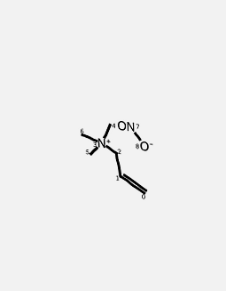 C=CC[N+](C)(C)C.O=N[O-]